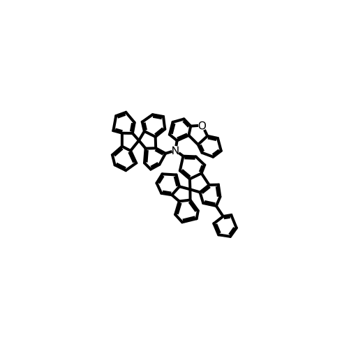 c1ccc(-c2ccc3c(c2)C2(c4ccccc4-c4ccccc42)c2cc(N(c4cccc5c4-c4ccccc4C54c5ccccc5-c5ccccc54)c4cccc5oc6ccccc6c45)ccc2-3)cc1